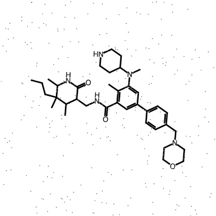 CCCC1(C)C(C)NC(=O)C(CNC(=O)c2cc(-c3ccc(CN4CCOCC4)cc3)cc(N(C)C3CCNCC3)c2C)C1C